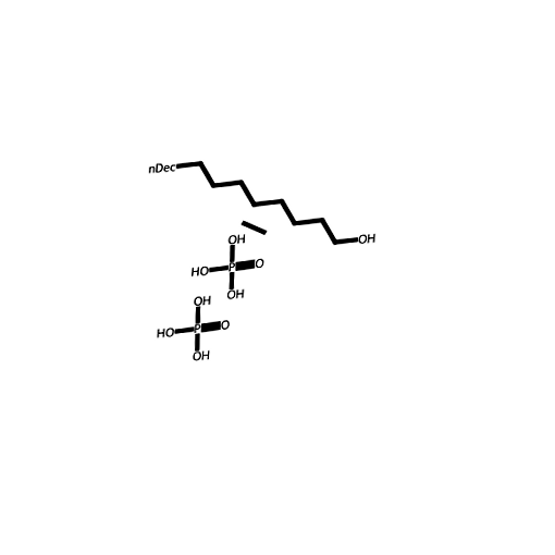 CC.CCCCCCCCCCCCCCCCCCO.O=P(O)(O)O.O=P(O)(O)O